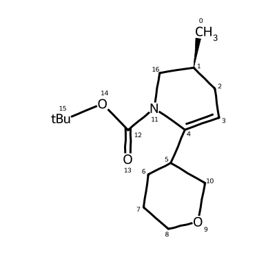 C[C@H]1CC=C(C2CCCOC2)N(C(=O)OC(C)(C)C)C1